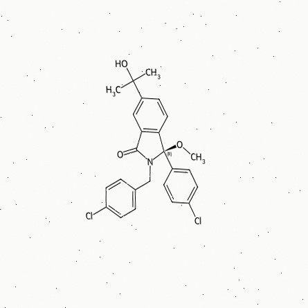 CO[C@]1(c2ccc(Cl)cc2)c2ccc(C(C)(C)O)cc2C(=O)N1Cc1ccc(Cl)cc1